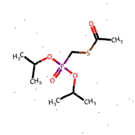 CC(=O)SCP(=O)(OC(C)C)OC(C)C